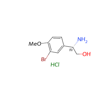 COc1ccc([C@H](N)CO)cc1Br.Cl